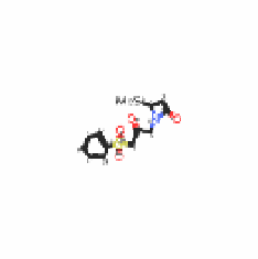 CSC1CC(=O)N1CC(=O)CS(=O)(=O)c1ccccc1